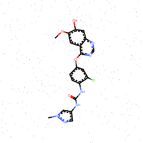 COc1cc2c(Oc3ccc(NC(=O)Nc4cnn(C)c4)c(Cl)c3)ncnc2cc1O